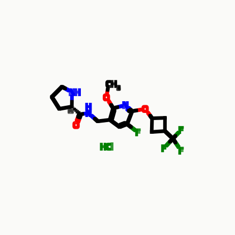 COc1nc(OC2CC(C(F)(F)F)C2)c(F)cc1CNC(=O)[C@@H]1CCCN1.Cl